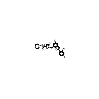 Cc1cc(C(=O)NN2CCOCC2)nn1Cc1cc(Cl)cc2cc(-c3ccc(F)cc3Cl)oc12